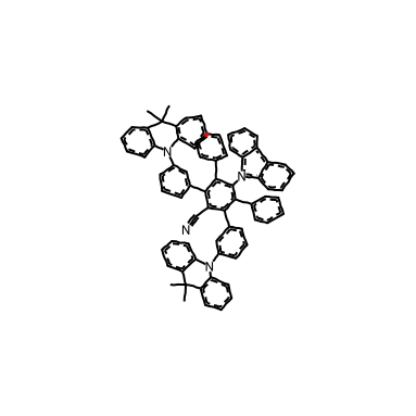 CC1(C)c2ccccc2N(c2cccc(-c3c(C#N)c(-c4cccc(N5c6ccccc6C(C)(C)c6ccccc65)c4)c(-c4ccccc4)c(-n4c5ccccc5c5ccccc54)c3-c3ccccc3)c2)c2ccccc21